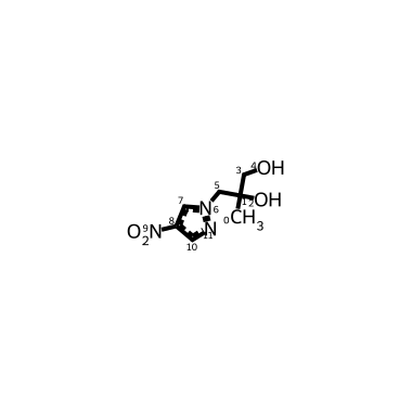 CC(O)(CO)Cn1cc([N+](=O)[O-])cn1